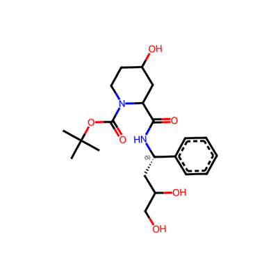 CC(C)(C)OC(=O)N1CCC(O)CC1C(=O)N[C@@H](CC(O)CO)c1ccccc1